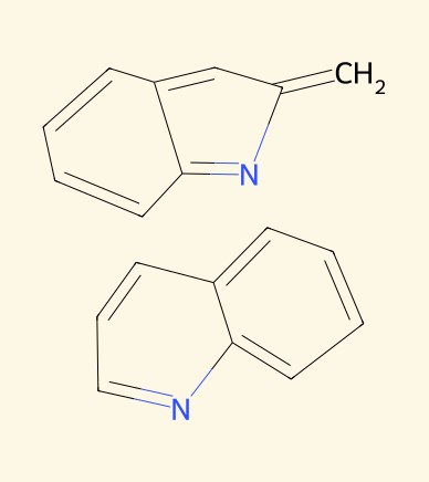 C=C1C=c2ccccc2=N1.c1ccc2ncccc2c1